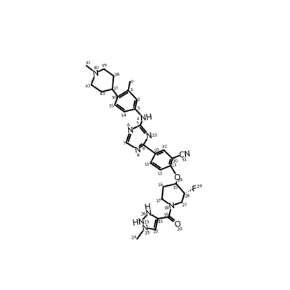 Cc1cc(Nc2ncnc(-c3ccc(O[C@H]4CCN(C(=O)C5=CN(C)NN5)C[C@H]4F)c(C#N)c3)n2)ccc1C1CCN(C)CC1